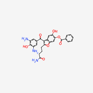 NC(=O)CCCc1oc2cc(OC(=O)c3ccccc3)c(O)cc2c1C(=O)c1cc(N)c(O)c(N)c1